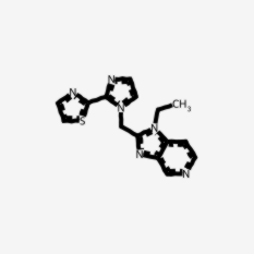 CCn1c(Cn2ccnc2-c2nccs2)nc2cnccc21